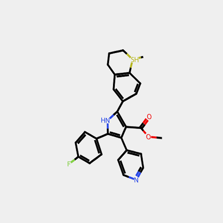 COC(=O)c1c(-c2ccc3c(c2)CCC[SH]3C)[nH]c(-c2ccc(F)cc2)c1-c1ccncc1